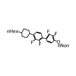 CCCCCCCCCOc1ccc(-c2ccc(C3CCC(CCCCCC)CC3)c(F)c2F)c(F)c1F